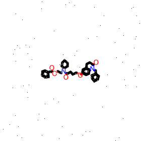 O=C(OCCN(C(=O)CCCOc1ccc2c(c1)CCC(=O)N2Cc1ccccc1)C1CCCCC1)c1ccccc1